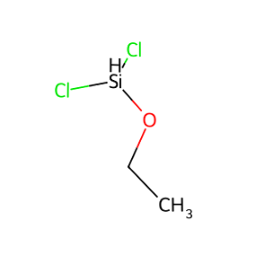 CCO[SiH](Cl)Cl